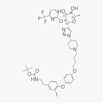 C[C@H]1O[C@H](c2cn(C3CCN(CCCCOc4ccc(Oc5ccc(CCNC(=O)OC(C)(C)C)cc5I)cc4)CC3)nn2)[C@H](Oc2cccc(C(F)(F)F)n2)[C@@H](O)[C@H]1O